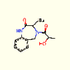 CCC(C)C1C(=O)Nc2ccccc2CN1C(=O)C(C)O